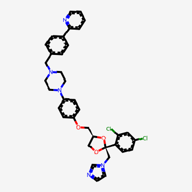 Clc1ccc([C@]2(Cn3ccnc3)OC[C@@H](COc3ccc(N4CCN(Cc5ccc(-c6ccccn6)cc5)CC4)cc3)O2)c(Cl)c1